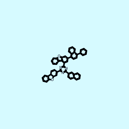 C1=CC2c3ccccc3OC2C=C1c1nc(-c2ccc3ccccc3c2)nc(-c2cc(-c3ccc(-c4ccccc4)c4ccccc34)cc3oc4ccccc4c23)n1